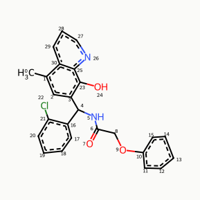 Cc1cc(C(NC(=O)COc2ccccc2)c2ccccc2Cl)c(O)c2ncccc12